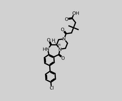 CC(C)(CC(=O)O)CC(=O)N1CCN2C(=O)c3cc(-c4ccc(Cl)cc4)ccc3NC(=O)[C@H]2C1